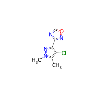 Cc1c(Cl)c(-c2ncon2)nn1C